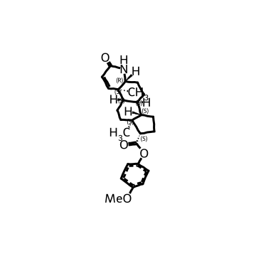 COc1ccc(OC(=O)[C@H]2CC[C@H]3[C@@H]4CC[C@H]5NC(=O)C=C[C@]5(C)[C@H]4CC[C@]23C)cc1